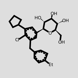 CCc1ccc(Cc2cc([C@@H]3O[C@H](CO)[C@@H](O)[C@H](O)[C@H]3O)cc(C3CCCC3)c2Cl)cc1